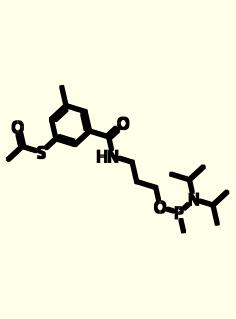 CC(=O)Sc1cc(C)cc(C(=O)NCCCOP(C)N(C(C)C)C(C)C)c1